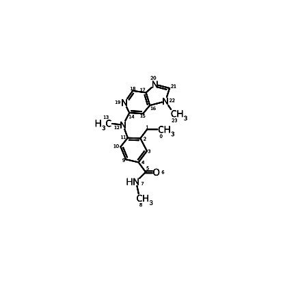 CCc1cc(C(=O)NC)ccc1N(C)c1cc2c(cn1)ncn2C